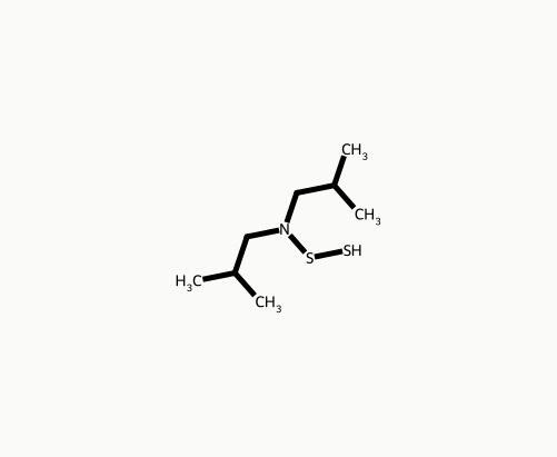 CC(C)CN(CC(C)C)SS